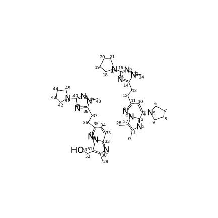 Cc1nc2c(N3CCCC3)cc(CCc3nc(N4CCCC4)nn3C)nn2c1C.Cc1nc2ccc(CCc3nc(N4CCCC4)nn3C)nn2c1CO